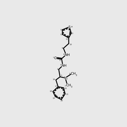 CN(C)C(CNC(=O)NCCc1ccsc1)Cc1ccccc1